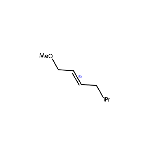 COC/C=C/CC(C)C